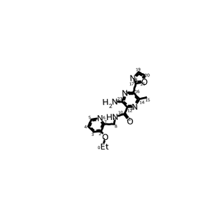 CCOc1cccnc1CNC(=O)c1nc(C)c(-c2ncco2)nc1N